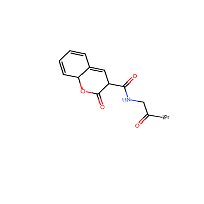 CC(C)C(=O)CNC(=O)C1C=C2C=CC=CC2OC1=O